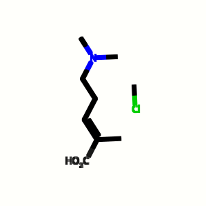 CC(=CCCN(C)C)C(=O)O.CCl